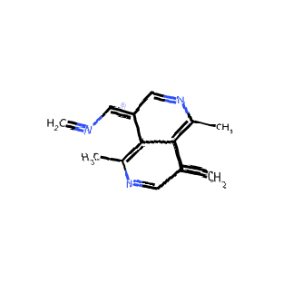 C=N/C=c1/cnc(C)c2c(=C)cnc(C)c12